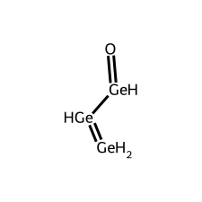 [O]=[GeH][GeH]=[GeH2]